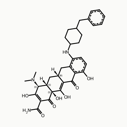 CN(C)[C@@H]1C(O)=C(C(N)=O)C(=O)[C@@]2(O)C(O)=C3C(=O)c4c(O)ccc(NC5CCC(Cc6ccccc6)CC5)c4C[C@H]3C[C@@H]12